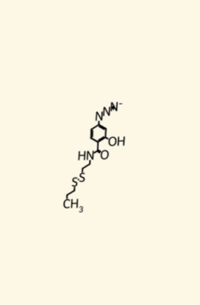 CCCSSCCNC(=O)c1ccc(N=[N+]=[N-])cc1O